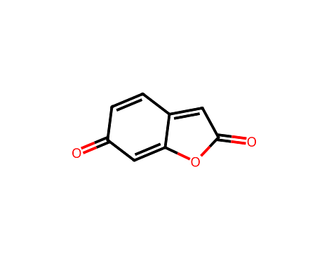 O=C1C=CC2=CC(=O)OC2=C1